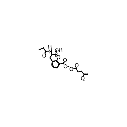 C=C(CCC(=O)OCOC(=O)c1cccc2c1OB(O)C(NC(=O)CC)C2)OC